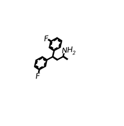 CC(N)CC(c1cccc(F)c1)c1cccc(F)c1